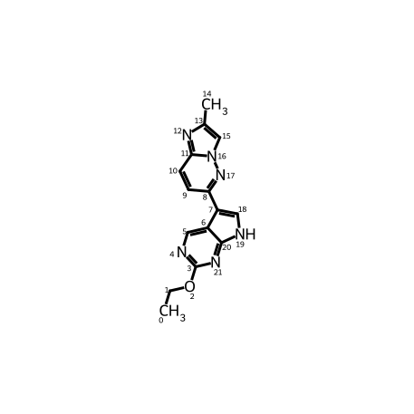 CCOc1ncc2c(-c3ccc4nc(C)cn4n3)c[nH]c2n1